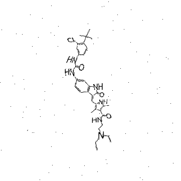 CCN(CC)CCNC(=O)c1c(C)[nH]c(C=C2C(=O)Nc3cc(NC(=O)Nc4ccc(C(C)(C)C)c(Cl)c4)ccc32)c1C